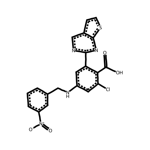 O=C(O)c1c(Cl)cc(NCc2cccc([N+](=O)[O-])c2)cc1-c1ncc2ccsc2n1